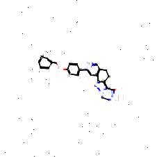 O=C1NCCn2nc3c(c21)CCc1cnc(-c2ccc(OCc4ccccc4)cc2)cc1-3